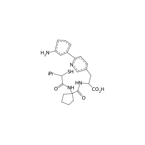 CC(C)C(S)C(=O)NC1(C(=O)NC(Cc2ccc(-c3cccc(N)c3)nc2)C(=O)O)CCCC1